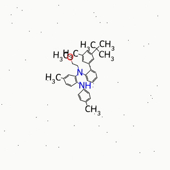 COCCN(c1cc(C)ccc1Nc1ccc(C)cc1)c1ccccc1-c1cc(C)cc(C(C)(C)C)c1